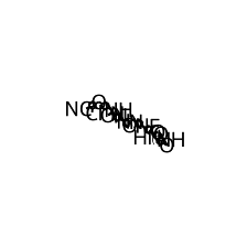 N#Cc1ccc(OC2CCC(NC(=O)c3ccc(N4CCO[C@H](CN5CCN(c6ccc(C(=O)N[C@H]7CCC(=O)NC7=O)c(F)c6)CC5)C4)nn3)CC2)cc1Cl